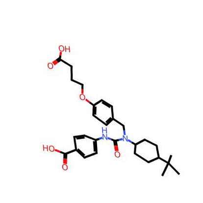 CC(C)(C)C1CCC(N(Cc2ccc(OCCCC(=O)O)cc2)C(=O)Nc2ccc(C(=O)O)cc2)CC1